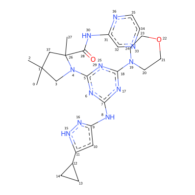 CC1(C)CN(c2nc(Nc3cc(C4CC4)[nH]n3)nc(N3CCOCC3)n2)C(C)(C(=O)Nc2cnccn2)C1